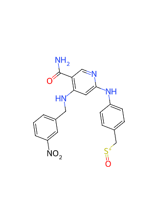 NC(=O)c1cnc(Nc2ccc(C[S+]=O)cc2)cc1NCc1cccc([N+](=O)[O-])c1